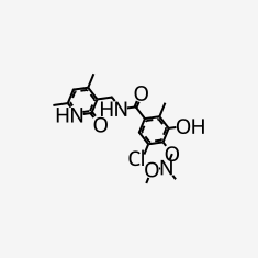 CON(C)Oc1c(Cl)cc(C(=O)NCc2c(C)cc(C)[nH]c2=O)c(C)c1O